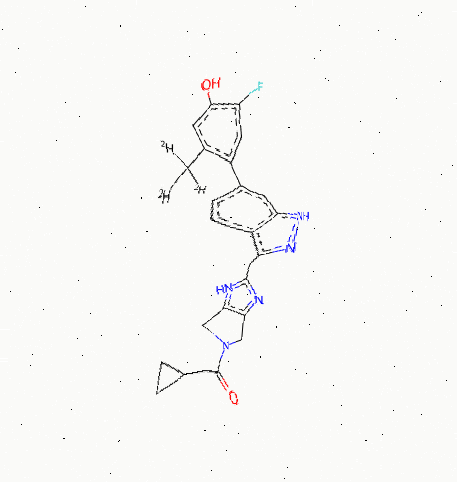 [2H]C([2H])([2H])c1cc(O)c(F)cc1-c1ccc2c(-c3nc4c([nH]3)CN(C(=O)C3CC3)C4)n[nH]c2c1